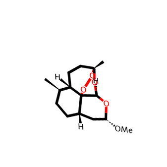 CO[C@@H]1C[C@@H]2CC[C@@H](C)[C@@H]3CC[C@@]4(C)OO[C@@]23[C@H](O1)O4